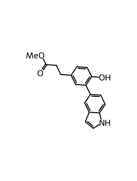 COC(=O)CCc1ccc(O)c(-c2ccc3[nH]ccc3c2)c1